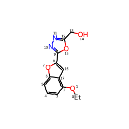 CCOc1cccc2oc(-c3nnc(CO)o3)cc12